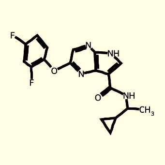 CC(NC(=O)c1c[nH]c2ncc(Oc3ccc(F)cc3F)nc12)C1CC1